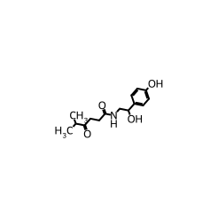 CC(C)C(=O)CCC(=O)NCC(O)c1ccc(O)cc1